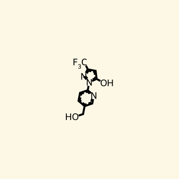 OCc1ccc(-n2nc(C(F)(F)F)cc2O)nc1